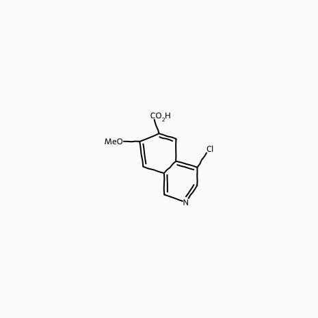 COc1cc2cncc(Cl)c2cc1C(=O)O